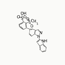 CS(=O)(=O)c1c(-c2ccc3c(cnn3-c3cc4ccccc4[nH]3)c2)cccc1S(=O)(=O)O